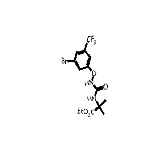 CCOC(=O)C(C)(C)NC(=O)NOc1cc(Br)cc(C(F)(F)F)c1